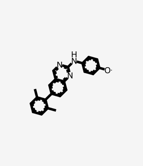 Cc1cccc(C)c1-c1ccc2nc(Nc3ccc([O])cc3)ncc2c1